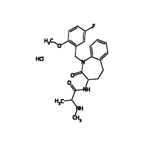 CNC(C)C(=O)NC1CCc2ccccc2N(Cc2cc(F)ccc2OC)C1=O.Cl